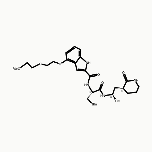 COCCOCCOc1cccc2[nH]c(C(=O)N[C@@H](CC(C)(C)C)C(=O)N[C@H](C#N)C[C@@H]3CCCNC3=O)cc12